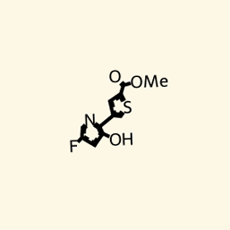 COC(=O)c1cc(-c2ncc(F)cc2O)cs1